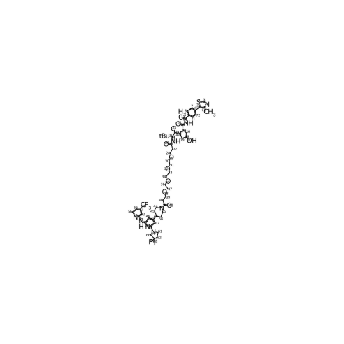 Cc1ncsc1-c1ccc([C@H](C)NC(=O)[C@@H]2C[C@@H](O)CN2C(=O)[C@@H](NC(=O)CCOCCOCCOCCOCCC(=O)N2CCC(c3cc(Nc4cc(C(F)(F)F)ccn4)nc(N4CCC(F)(F)C4)c3)CC2)C(C)(C)C)cc1